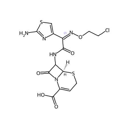 Nc1nc(/C(=N/OCCCl)C(=O)NC2C(=O)N3C(C(=O)O)=CCS[C@H]23)cs1